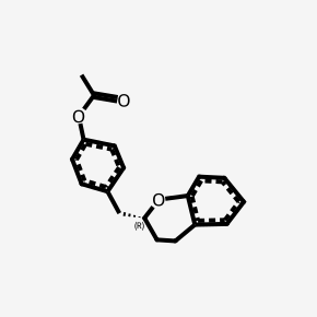 CC(=O)Oc1ccc(C[C@H]2CCc3ccccc3O2)cc1